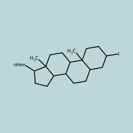 CCCCCCC1CCC2C3CCC4CC(I)CCC4(C)C3CCC12C